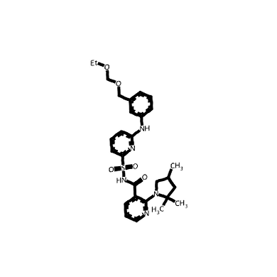 CCOCOCc1cccc(Nc2cccc(S(=O)(=O)NC(=O)c3cccnc3N3CC(C)CC3(C)C)n2)c1